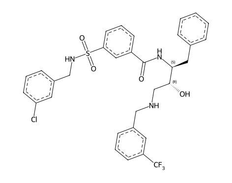 O=C(N[C@@H](Cc1ccccc1)[C@H](O)CNCc1cccc(C(F)(F)F)c1)c1cccc(S(=O)(=O)NCc2cccc(Cl)c2)c1